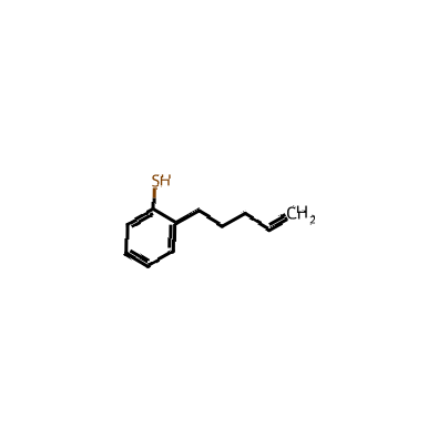 C=CCCCc1ccccc1S